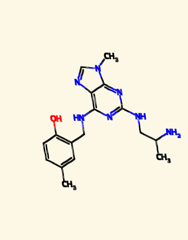 Cc1ccc(O)c(CNc2nc(NCC(C)N)nc3c2ncn3C)c1